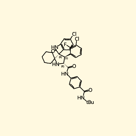 CC(C)(C)NC(=O)c1ccc(NC(=O)[C@@H]2NC3(CCCCC3)[C@@]3(C(=O)Nc4cc(Cl)ccc43)[C@H]2c2cccc(Cl)c2F)cc1